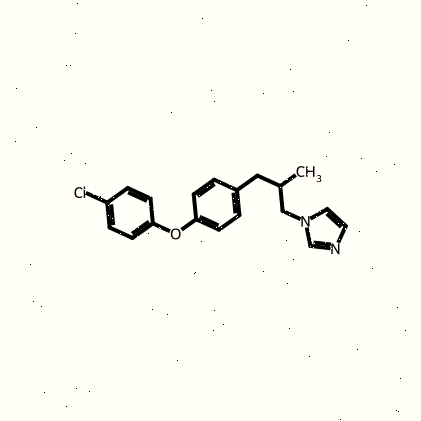 CC(Cc1ccc(Oc2ccc(Cl)cc2)cc1)Cn1ccnc1